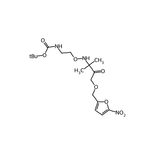 CC(C)(C)OC(=O)NCCONC(C)(C)C(=O)COCc1ccc([N+](=O)[O-])o1